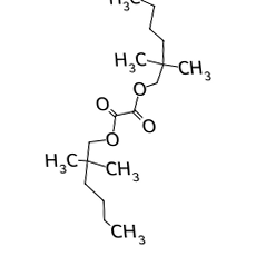 CCCCC(C)(C)COC(=O)C(=O)OCC(C)(C)CCCC